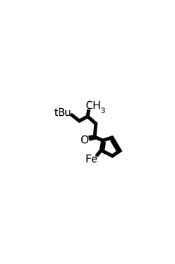 CC(CC(=O)C1=[C]([Fe])CC=C1)CC(C)(C)C